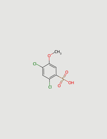 COc1cc(S(=O)(=O)O)c(Cl)cc1Cl